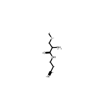 CSCC(N)C(=O)NCCC#N